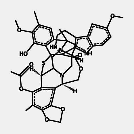 COc1ccc2[nH]c3c(c2c1)CCN[C@]31CS[C@@H]2c3c(OC(C)=O)c(C)c4c(c3[C@H](COC1=O)N1C[C@H]3CC5(C)c6cc(C)c(OC)c(O)c6C(C21)N35)OCO4